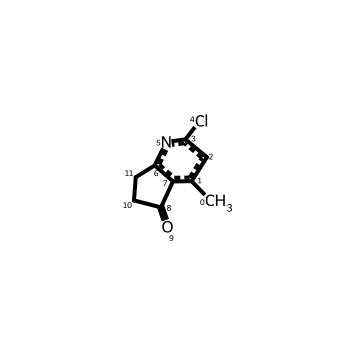 Cc1cc(Cl)nc2c1C(=O)CC2